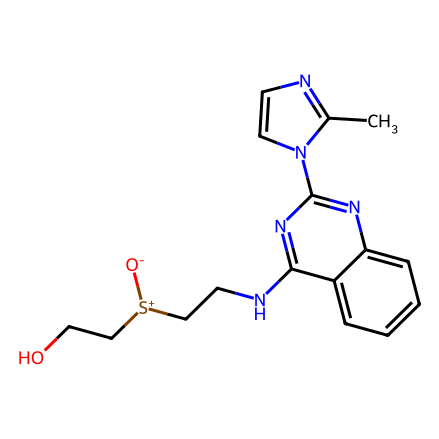 Cc1nccn1-c1nc(NCC[S+]([O-])CCO)c2ccccc2n1